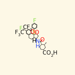 C[C@H]1CC(C(=O)O)CC[C@H]1C(=O)N[C@@H]1CC[C@@]2(S(=O)(=O)c3ccc(F)cc3)c3ccc(C(F)(C(F)(F)F)C(F)(F)F)cc3CC[C@@H]12